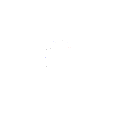 CC(=O)NCCCC(=O)NC(C)Cc1ccc(C2CN(c3ccc(OCC4CC4)cc3)C2)cc1